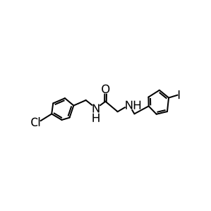 O=C(CNCc1ccc(I)cc1)NCc1ccc(Cl)cc1